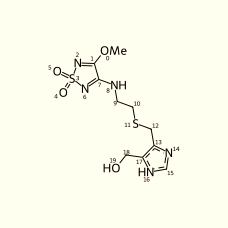 COC1=NS(=O)(=O)N=C1NCCSCc1nc[nH]c1CO